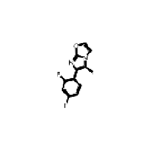 FC1=CC(F)C(c2nc3occn3c2I)C=C1